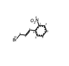 O=[N+]([O-])c1ccccc1C=CCBr